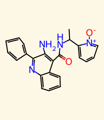 CC(NC(=O)c1c(N)c(-c2ccccc2)nc2ccccc12)c1cccc[n+]1[O-]